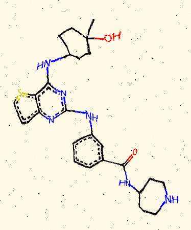 CC1(O)CCC(Nc2nc(Nc3cccc(C(=O)NC4CCNCC4)c3)nc3ccsc23)CC1